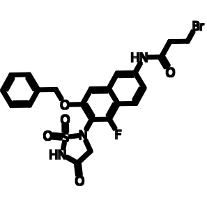 O=C(CCBr)Nc1ccc2c(F)c(N3CC(=O)NS3(=O)=O)c(OCc3ccccc3)cc2c1